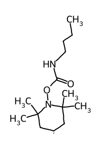 CCCCNC(=O)ON1C(C)(C)C[CH]CC1(C)C